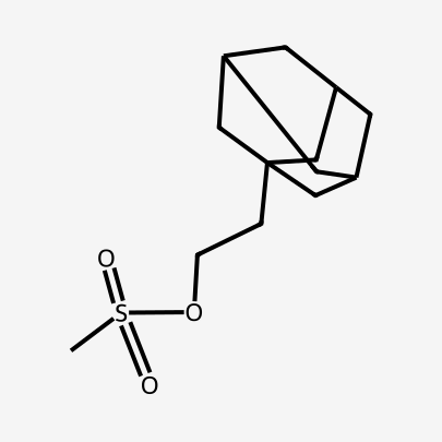 CS(=O)(=O)OCCC12CC3CC(CC(C3)C1)C2